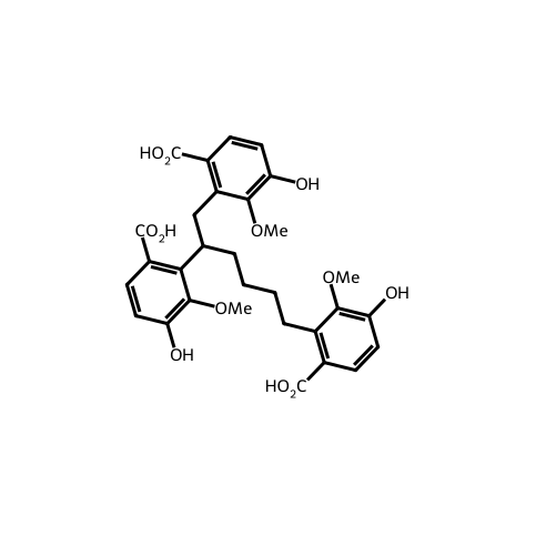 COc1c(O)ccc(C(=O)O)c1CCCCC(Cc1c(C(=O)O)ccc(O)c1OC)c1c(C(=O)O)ccc(O)c1OC